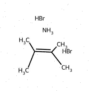 Br.Br.CC(C)=C(C)C.N